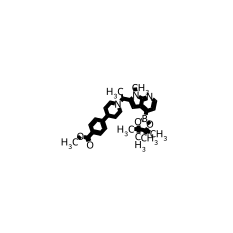 COC(=O)c1ccc(C2CCN([C@@H](C)c3cc4c(B5OC(C)(C)C(C)(C)O5)ccnc4n3C)CC2)cc1